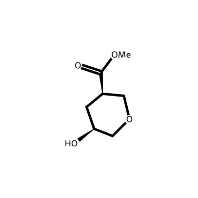 COC(=O)[C@H]1COC[C@@H](O)C1